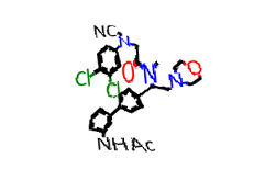 CC(=O)Nc1cccc(-c2ccc(C(CN3CCOCC3)N(C)C(=O)CN(CC#N)c3ccc(Cl)c(Cl)c3)cc2)c1